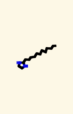 CCCCCCCCCCCCC1NCCN1